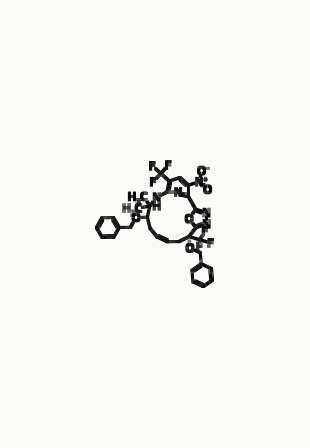 CC1(C)Nc2nc(c([N+](=O)[O-])cc2C(F)(F)F)-c2nnc(o2)[C@@](OCc2ccccc2)(C(F)(F)F)CC=CCC1OCc1ccccc1